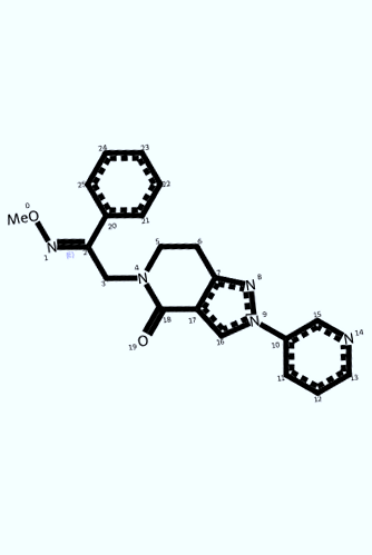 CO/N=C(/CN1CCc2nn(-c3cccnc3)cc2C1=O)c1ccccc1